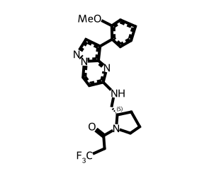 COc1ccccc1-c1cnn2ccc(NC[C@@H]3CCCN3C(=O)CC(F)(F)F)nc12